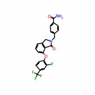 NC(=O)c1ccc(CN2Cc3cccc(Oc4ccc(C(F)(F)F)cc4F)c3C2=O)cc1